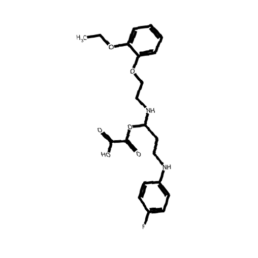 CCOc1ccccc1OCCNC(CCNc1ccc(F)cc1)OC(=O)C(=O)O